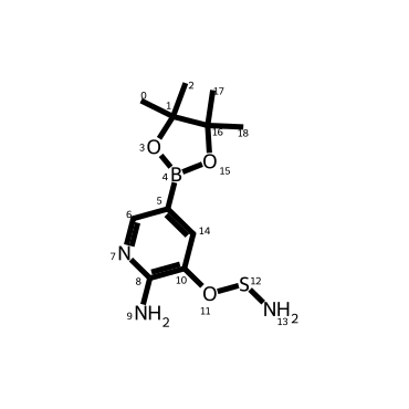 CC1(C)OB(c2cnc(N)c(OSN)c2)OC1(C)C